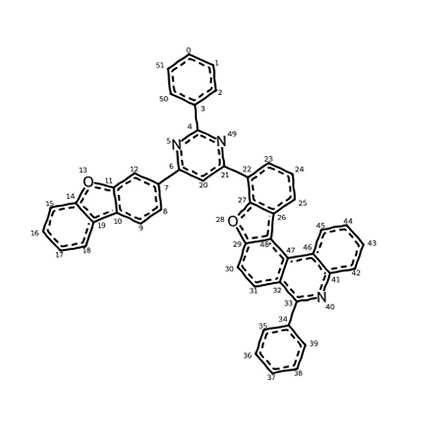 c1ccc(-c2nc(-c3ccc4c(c3)oc3ccccc34)cc(-c3cccc4c3oc3ccc5c(-c6ccccc6)nc6ccccc6c5c34)n2)cc1